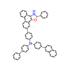 c1ccc(-c2ccc(N(c3ccc(-c4ccc5ccccc5c4)cc3)c3ccc(-c4ccc5c(c4)c4c(c6ccccc65)NC(c5ccccc5)O4)cc3)cc2)cc1